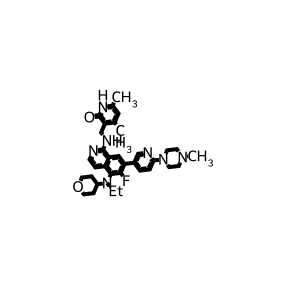 CCN(c1c(F)c(-c2ccc(N3CCN(C)CC3)nc2)cc2c(NCc3c(C)cc(C)[nH]c3=O)nccc12)C1CCOCC1